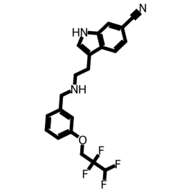 N#Cc1ccc2c(CCNCc3cccc(OCC(F)(F)C(F)F)c3)c[nH]c2c1